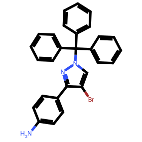 Nc1ccc(-c2nn(C(c3ccccc3)(c3ccccc3)c3ccccc3)cc2Br)cc1